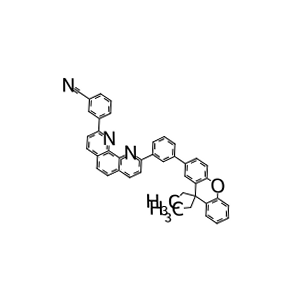 CCC1(CC)c2ccccc2Oc2ccc(-c3cccc(-c4ccc5ccc6ccc(-c7cccc(C#N)c7)nc6c5n4)c3)cc21